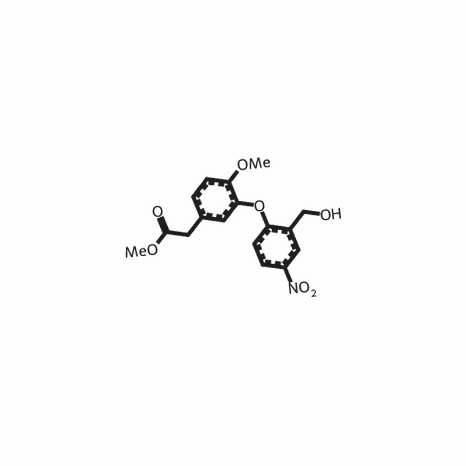 COC(=O)Cc1ccc(OC)c(Oc2ccc([N+](=O)[O-])cc2CO)c1